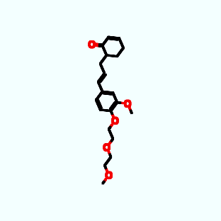 COCCOCCOc1ccc(C=CCC2CCC=CC2=O)cc1OC